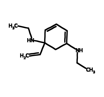 C=CC1(NCC)C=CC=C(NCC)C1